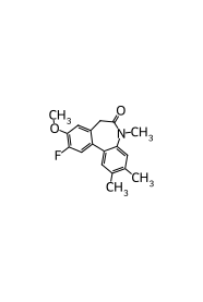 COc1cc2c(cc1F)-c1cc(C)c(C)cc1N(C)C(=O)C2